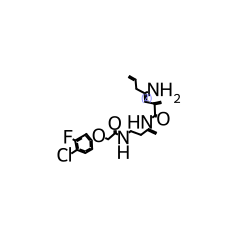 C=CC/C(N)=C/C(=C)C(=O)NC(=C)CCNC(=O)COc1ccc(Cl)c(F)c1